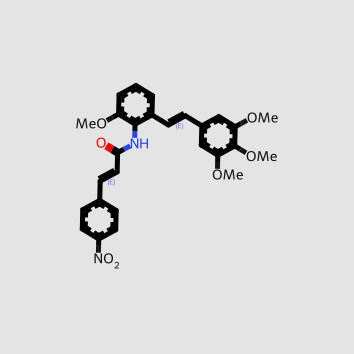 COc1cccc(/C=C/c2cc(OC)c(OC)c(OC)c2)c1NC(=O)/C=C/c1ccc([N+](=O)[O-])cc1